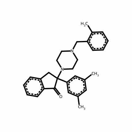 Cc1cc(C)cc(C2(N3CCN(Cc4ccccc4C)CC3)Cc3ccccc3C2=O)c1